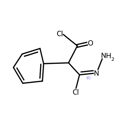 N/N=C(/Cl)C(C(=O)Cl)c1ccccc1